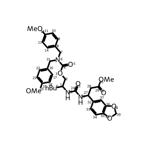 CCCCC(COC(=O)N(Cc1ccc(OC)cc1)Cc1ccc(OC)cc1)NC(=O)NC(CC(=O)OC)c1ccc2c(c1)OCO2